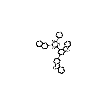 c1ccc(-c2nc(-c3ccc4ccccc4c3)nc(-c3cc(-c4ccc5oc6ccccc6c5c4)cc4oc5ccccc5c34)n2)cc1